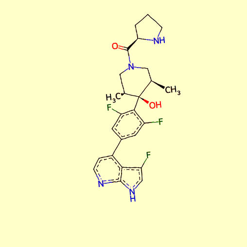 C[C@@H]1CN(C(=O)[C@H]2CCCN2)C[C@H](C)[C@@]1(O)c1c(F)cc(-c2ccnc3[nH]cc(F)c23)cc1F